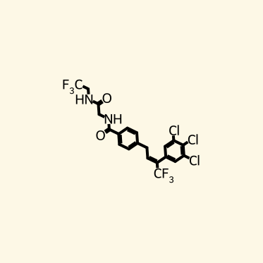 O=C(CNC(=O)c1ccc(CC=C(c2cc(Cl)c(Cl)c(Cl)c2)C(F)(F)F)cc1)NCC(F)(F)F